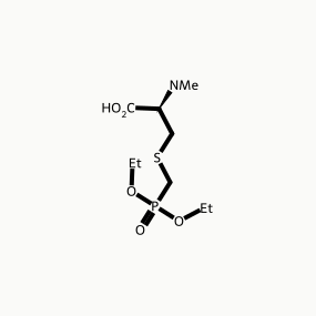 CCOP(=O)(CSC[C@H](NC)C(=O)O)OCC